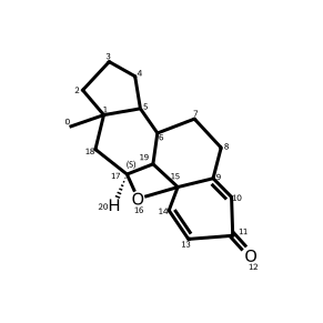 CC12CCCC1C1CCC3=CC(=O)C=CC34O[C@@H](C2)C14